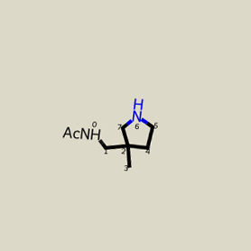 CC(=O)NCC1(C)CCNC1